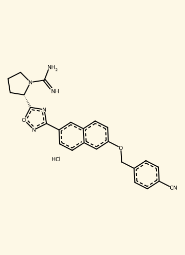 Cl.N#Cc1ccc(COc2ccc3cc(-c4noc([C@@H]5CCCN5C(=N)N)n4)ccc3c2)cc1